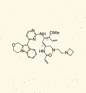 C=CC(=O)N/C(=C/C(Nc1nccc(-c2c3n(c4ccccc24)CCOC3)n1)=C(\C=C)OC)CN(C)CCN1CCC1